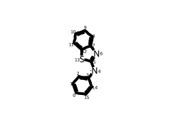 c1ccc([N]c2nc3ccccc3s2)cc1